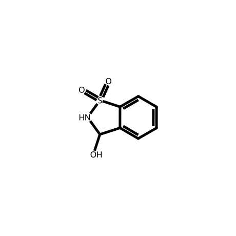 O=S1(=O)NC(O)c2ccccc21